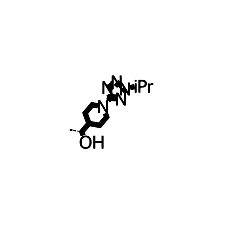 CC(C)n1nnc(N2CCC([C@@H](C)O)CC2)n1